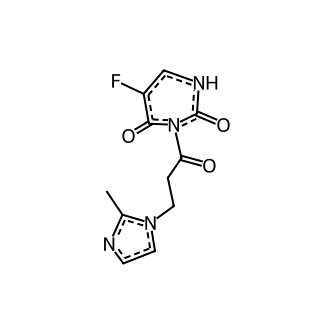 Cc1nccn1CCC(=O)n1c(=O)[nH]cc(F)c1=O